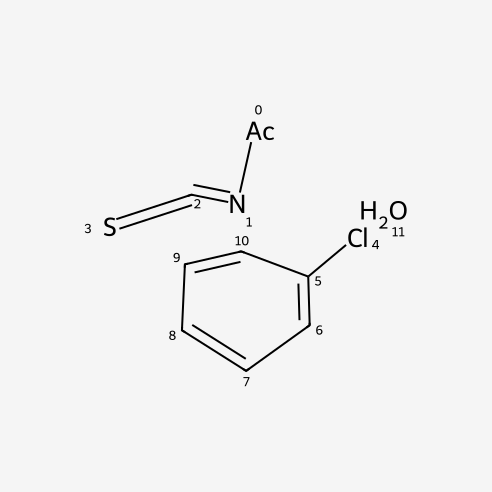 CC(=O)N=C=S.Clc1ccccc1.O